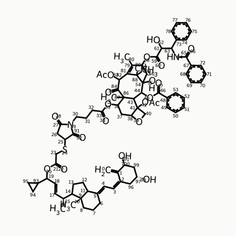 C=C1/C(=C\C=C2/CCC[C@@]3(C)C2CCC3[C@@H](C)/C=C/C(OC(=O)CSC2CC(=O)N(CCCC(=O)OC3CC4OCC4(OC(C)=O)C4C(OC(=O)c5ccccc5)C5(O)CC(OC(=O)C(O)C(NC(=O)c6ccccc6)c6ccccc6)C(C)=C(C(OC(C)=O)C(=O)C34C)C5(C)C)C2=O)C2CC2)C[C@@H](O)C[C@@H]1O